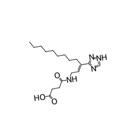 CCCCCCCCCC(=CCNC(=O)CCC(=O)O)c1nc[nH]n1